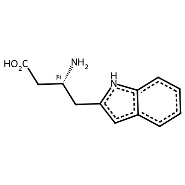 N[C@@H](CC(=O)O)Cc1cc2ccccc2[nH]1